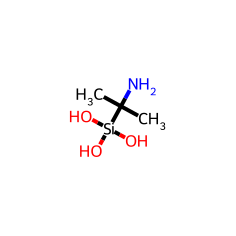 CC(C)(N)[Si](O)(O)O